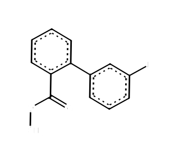 COC(=O)c1ccccc1-c1cccc(F)c1